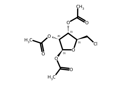 CC(=O)O[C@@H]1O[C@H](CCl)[C@@H](OC(C)=O)[C@H]1OC(C)=O